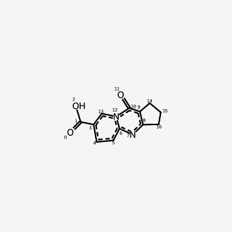 O=C(O)c1ccc2nc3c(c(=O)n2c1)CCC3